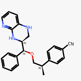 C[C@@H](CO[C@@H](c1ccccc1)[C@@H]1CNc2cccnc2N1)c1ccc(C#N)cc1